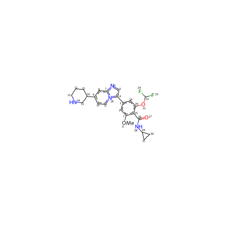 COc1cc(-c2cnc3cc(C4CCCNC4)ccn23)cc(OC(F)F)c1C(=O)NC1CC1